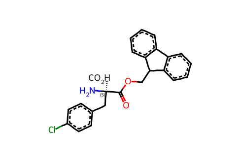 N[C@@](Cc1ccc(Cl)cc1)(C(=O)O)C(=O)OCC1c2ccccc2-c2ccccc21